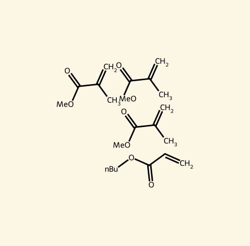 C=C(C)C(=O)OC.C=C(C)C(=O)OC.C=C(C)C(=O)OC.C=CC(=O)OCCCC